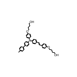 Cc1ccc(-c2ccc(N(c3ccc(C=Cc4ccc(OCCCCO)cc4)cc3)c3ccc(OCCCCO)cc3)cc2)cc1